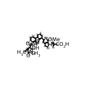 COc1nc(-c2cccc(-c3cccc(NC(=O)C4=CN(C)C(=O)N(C)C4O)c3Cl)c2Cl)cc2c1[C@H](N1CC(C(=O)O)C1)CC2